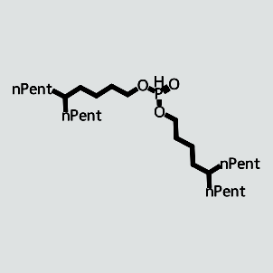 CCCCCC(CCCCC)CCCCO[PH](=O)OCCCCC(CCCCC)CCCCC